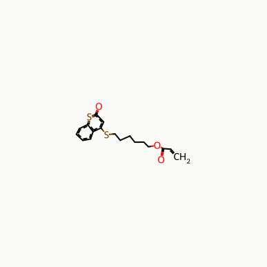 C=CC(=O)OCCCCCCSc1cc(=O)sc2ccccc12